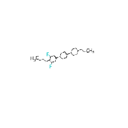 CCCCc1c(F)cc(C2C=CC(C3CCC(CCC)CC3)=CC2)cc1F